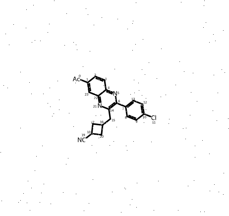 CC(=O)c1ccc2nc(-c3ccc(Cl)cc3)c(CC3CC(C#N)C3)nc2c1